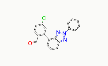 O=Cc1ccc(Cl)cc1-c1cccc2nn(-c3ccccc3)nc12